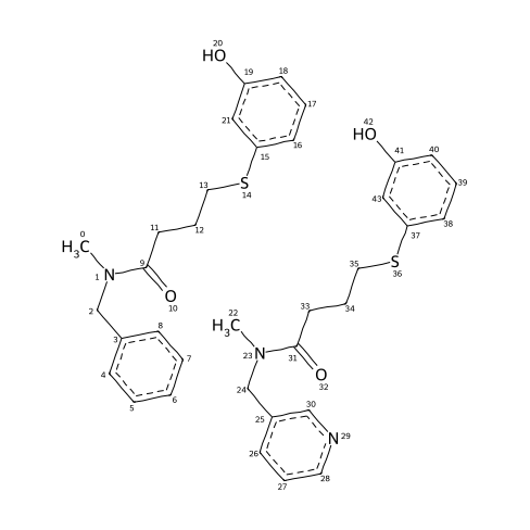 CN(Cc1ccccc1)C(=O)CCCSc1cccc(O)c1.CN(Cc1cccnc1)C(=O)CCCSc1cccc(O)c1